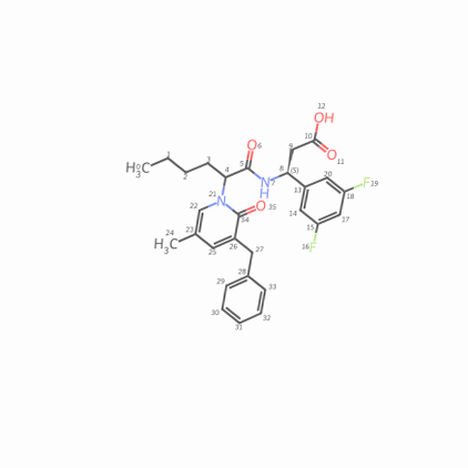 CCCCC(C(=O)N[C@@H](CC(=O)O)c1cc(F)cc(F)c1)n1cc(C)cc(Cc2ccccc2)c1=O